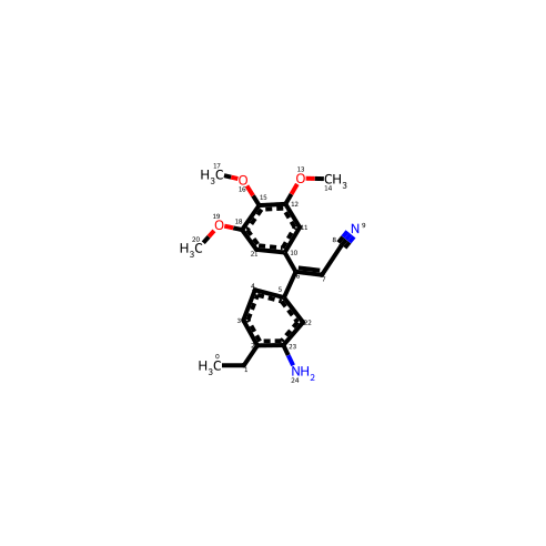 CCc1ccc(C(=CC#N)c2cc(OC)c(OC)c(OC)c2)cc1N